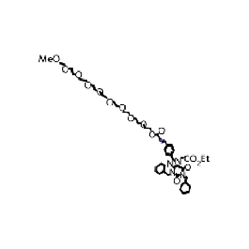 CCOC(=O)Cn1c(-c2ccc(/C=C/C(=O)OCCOCCOCCOCCOCCOCCOCCOCCOCCOC)cc2)nc2c1c(=O)n(CC1CCCCC1)c(=O)n2CC1CCCCC1